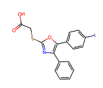 O=C(O)CSc1nc(-c2ccccc2)c(-c2ccc(I)cc2)o1